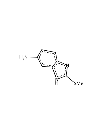 CSc1nc2ccc(N)cc2[nH]1